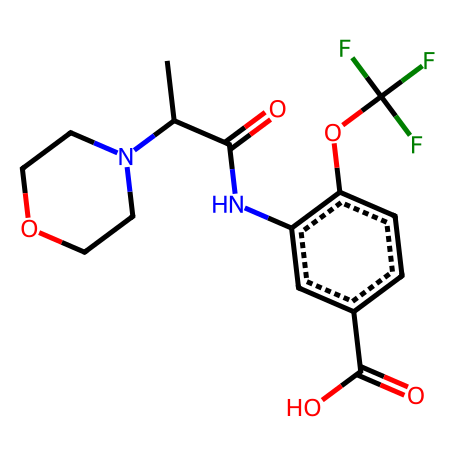 CC(C(=O)Nc1cc(C(=O)O)ccc1OC(F)(F)F)N1CCOCC1